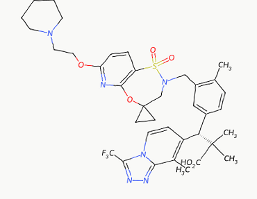 Cc1ccc([C@@H](c2ccn3c(C(F)(F)F)nnc3c2C)C(C)(C)C(=O)O)cc1CN1CC2(CC2)Oc2nc(OCCN3CCCCC3)ccc2S1(=O)=O